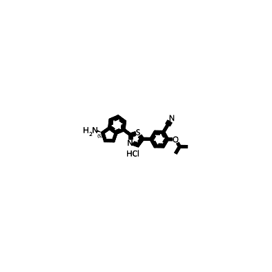 CC(C)Oc1ccc(-c2cnc(-c3cccc4c3CC[C@@H]4N)s2)cc1C#N.Cl